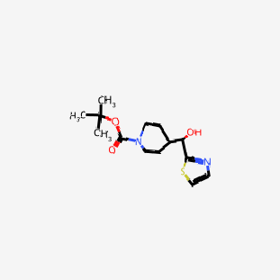 CC(C)(C)OC(=O)N1CCC(C(O)c2nccs2)CC1